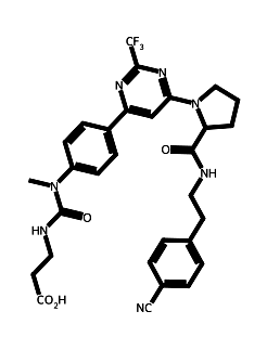 CN(C(=O)NCCC(=O)O)c1ccc(-c2cc(N3CCCC3C(=O)NCCc3ccc(C#N)cc3)nc(C(F)(F)F)n2)cc1